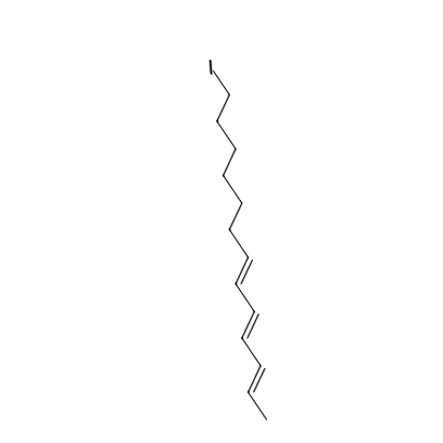 CC=CC=CC=CCCCCCCI